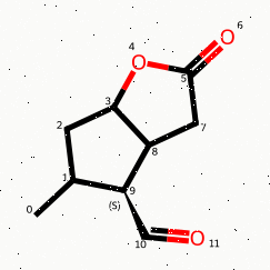 CC1CC2OC(=O)CC2[C@H]1C=O